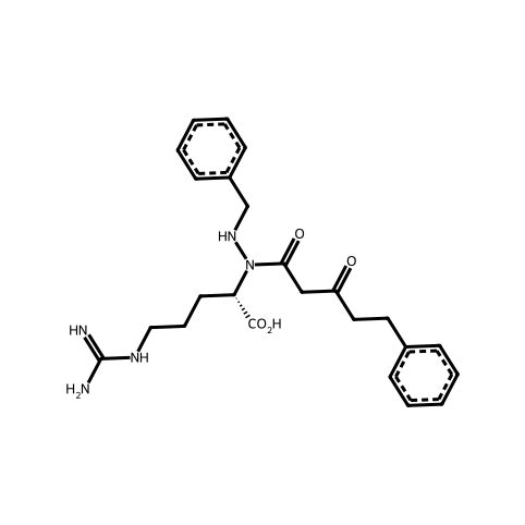 N=C(N)NCCC[C@@H](C(=O)O)N(NCc1ccccc1)C(=O)CC(=O)CCc1ccccc1